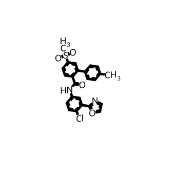 Cc1ccc(-c2cc(S(C)(=O)=O)ccc2C(=O)Nc2ccc(Cl)c(-c3ncco3)c2)cc1